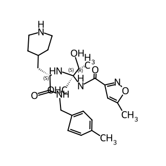 Cc1ccc(CNC(=O)[C@H](CC2CCNCC2)N[C@](C=O)(NC(=O)c2cc(C)on2)[C@@H](C)O)cc1